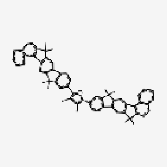 Cc1c(-c2ccc3c(c2)C(C)(C)c2cc4c(cc2-3)C(C)(C)c2ccc3ccccc3c2-4)oc(-c2ccc3c(c2)C(C)(C)c2cc4c(cc2-3)C(C)(C)c2ccc3ccccc3c2-4)c1C